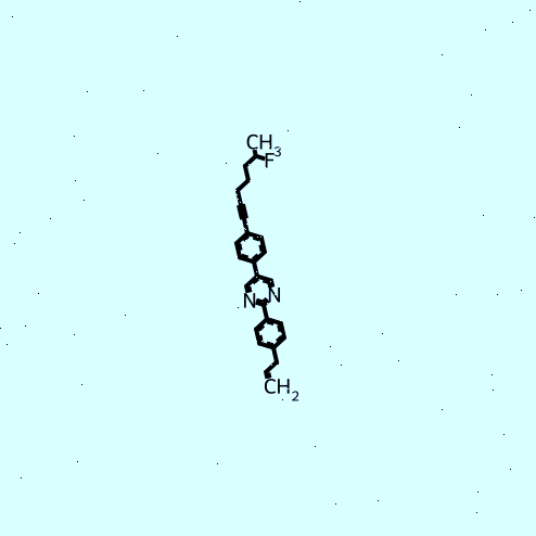 C=CCc1ccc(-c2ncc(-c3ccc(C#CCCCC(C)F)cc3)cn2)cc1